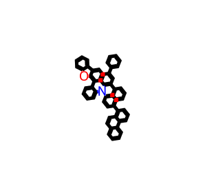 c1ccc(-c2ccc(N(c3ccc(-c4cccc5c4ccc4ccccc45)cc3)c3ccccc3-c3cccc4c3oc3ccccc34)c(-c3ccccc3)c2)cc1